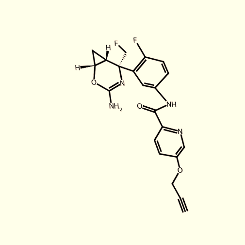 C#CCOc1ccc(C(=O)Nc2ccc(F)c([C@@]3(CF)N=C(N)O[C@@H]4C[C@@H]43)c2)nc1